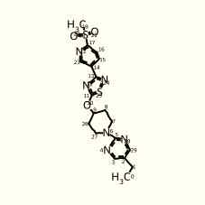 CCc1cnc(N2CCC(Oc3nc(-c4ccc(S(C)(=O)=O)nc4)ns3)CC2)nc1